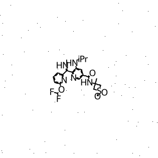 CC(C)Nc1cc(C(=O)NC2(C)CS(=O)(=O)C2)cnc1C(=N)c1cccc(OC(F)F)n1